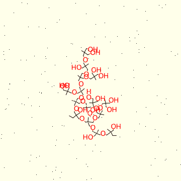 CCC(C)(CO)COCC(C)(CO)COCC(C)(COCC(C)(COCC(C)(CO)CO)COCC(C)(CO)CO)COCC(CC)(CO)COCC(C)(COCC(C)(CO)COC)COCC(C)(COCC(C)(CO)CO)COCC(C)(COCC(C)(CO)CO)COCC(C)(CO)COCC(C)(CO)CO